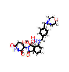 O=C1CCC(N2C(=O)c3cccc(NCc4ccc(CN5CCOCC5)cc4)c3C2(O)O)C(=O)N1